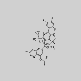 Cc1cnc2c(OC(F)F)cc(C(=O)NCC(O)(c3cc4c(c(-c5cc(F)c(F)cc5F)n3)OC[C@]4(C)C(N)=O)C3CC3)cc2c1